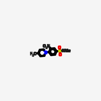 CNS(=O)(=O)c1ccc(N2CCC(C(F)(F)F)CC2)c([N+](=O)[O-])c1